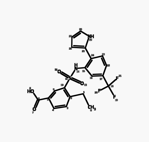 CCc1ccc(C(=O)O)cc1S(=O)(=O)Nc1cc(C(F)(F)F)ccc1-c1ccc[nH]1